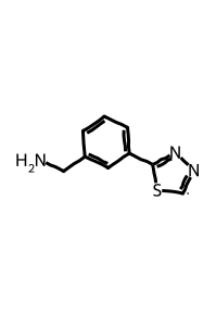 NCc1cccc(-c2nn[c]s2)c1